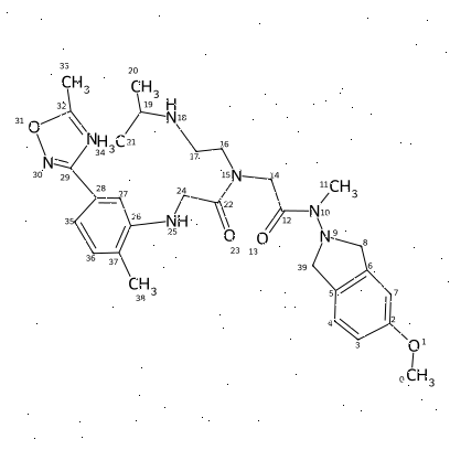 COc1ccc2c(c1)CN(N(C)C(=O)CN(CCNC(C)C)C(=O)CNc1cc(-c3noc(C)n3)ccc1C)C2